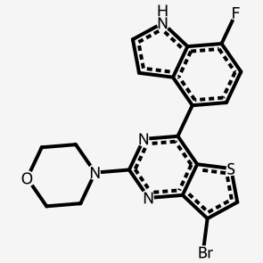 Fc1ccc(-c2nc(N3CCOCC3)nc3c(Br)csc23)c2cc[nH]c12